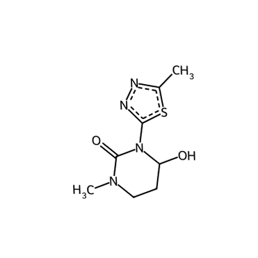 Cc1nnc(N2C(=O)N(C)CCC2O)s1